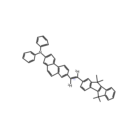 [2H]/C(=C(/[2H])c1ccc2c(ccc3cc(N(c4ccccc4)c4ccccc4)ccc32)c1)c1ccc2c(c1)C(C)(C)C1=C2C(C)(C)c2ccccc21